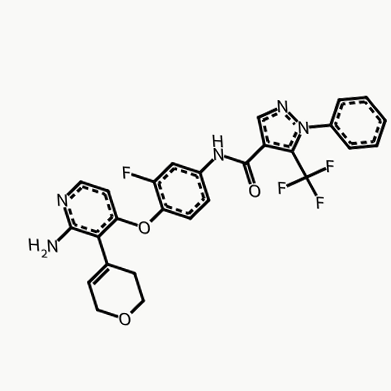 Nc1nccc(Oc2ccc(NC(=O)c3cnn(-c4ccccc4)c3C(F)(F)F)cc2F)c1C1=CCOCC1